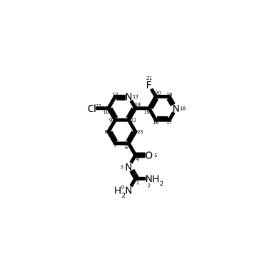 NC(N)=NC(=O)c1ccc2c(Cl)cnc(-c3ccncc3F)c2c1